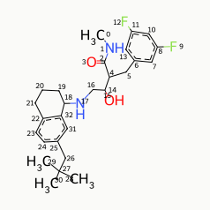 CNC(=O)C(Cc1cc(F)cc(F)c1)C(O)CNC1CCCc2ccc(CC(C)(C)C)cc21